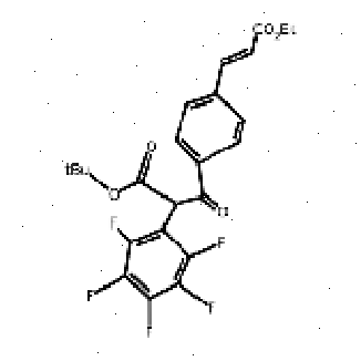 CCOC(=O)/C=C/c1ccc(C(=O)C(C(=O)OC(C)(C)C)c2c(F)c(F)c(F)c(F)c2F)cc1